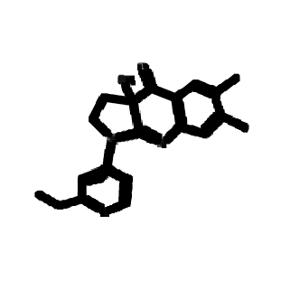 CCc1cc(N2CCC3(O)C(=O)c4cc(C)c(C)cc4N=C23)ccn1